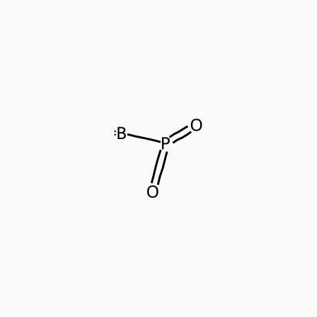 [B]P(=O)=O